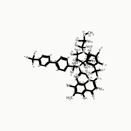 [2H]c1c(C)c([2H])c2c(=O)c([2H])c(SC([2H])([2H])c3cccc(F)c3F)n(CC(=O)N(C([2H])([2H])c3ccc(-c4ccc(C(F)(F)F)cc4)cc3)C3([2H])C([2H])([2H])C([2H])([2H])N(C([2H])([2H])C([2H])([2H])OC)C([2H])([2H])C3([2H])[2H])c2c1[2H]